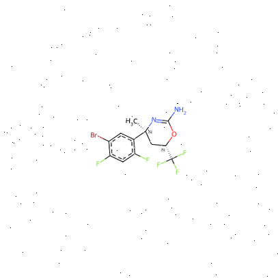 C[C@@]1(c2cc(Br)c(F)cc2F)C[C@@H](C(F)(F)F)OC(N)=N1